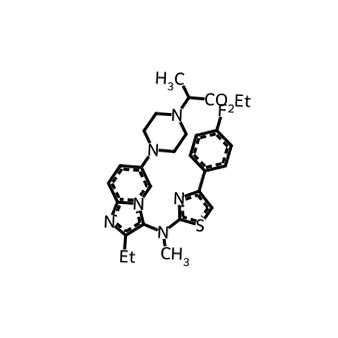 CCOC(=O)C(C)N1CCN(c2ccc3nc(CC)c(N(C)c4nc(-c5ccc(F)cc5)cs4)n3c2)CC1